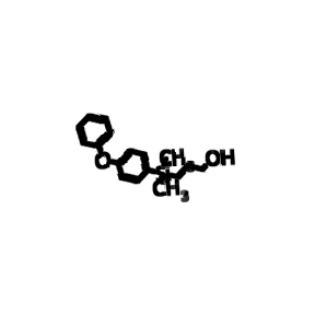 C[Si](C)(CCCO)c1ccc(Oc2ccccc2)cc1